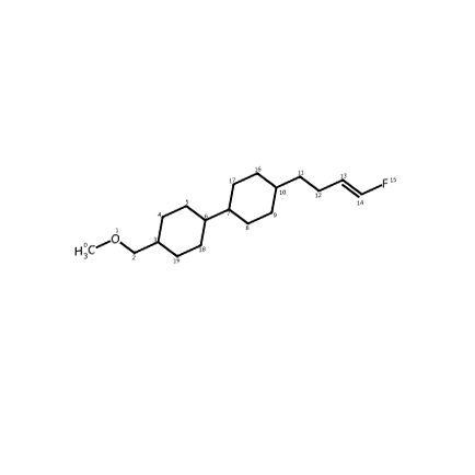 COCC1CCC(C2CCC(CCC=CF)CC2)CC1